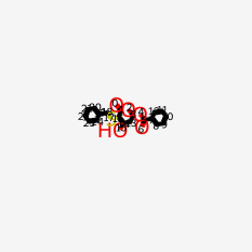 O=C1OC(OC(=O)c2ccccc2)CC(O)=C1SCc1ccccc1